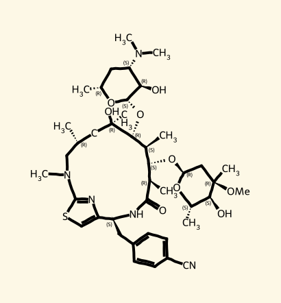 CO[C@]1(C)C[C@H](O[C@H]2[C@H](C)[C@@H](O[C@@H]3O[C@H](C)C[C@H](N(C)C)[C@H]3O)[C@](C)(O)C[C@@H](C)CN(C)c3nc(cs3)[C@H](Cc3ccc(C#N)cc3)NC(=O)[C@@H]2C)O[C@@H](C)[C@@H]1O